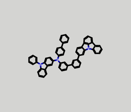 c1ccc(-c2ccc(N(c3cccc(-c4cccc(-c5ccc6c7cccc8c9ccccc9n(c6c5)c87)c4)c3)c3ccc4c(c3)c3ccccc3n4-c3ccccc3)cc2)cc1